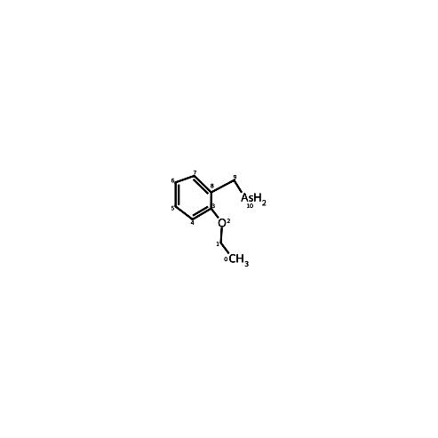 CCOc1ccccc1C[AsH2]